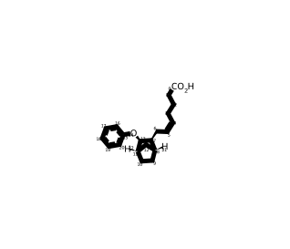 O=C(O)CCC/C=C\C[C@H]1[C@H]2CC[C@H](C2)[C@H]1Oc1ccccc1